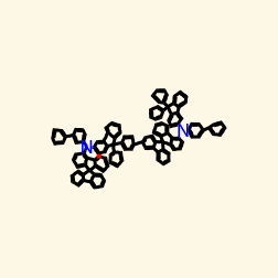 c1ccc(-c2ccc(N(c3ccc4c(c3)-c3ccccc3C4(c3ccccc3)c3ccccc3)c3cccc4c3-c3ccccc3C43c4ccccc4-c4cc(-c5ccc(C6(c7ccccc7)c7ccccc7-c7cc(N(c8cccc(-c9ccccc9)c8)c8cccc9c8-c8ccccc8C98c9ccccc9-c9ccccc98)ccc76)cc5)ccc43)cc2)cc1